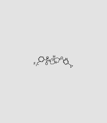 O=S(=O)(c1cccc(C(F)(F)F)c1)N1CCN2C[C@@H](Oc3ccc(C4CC4)cn3)C[C@H]2C1